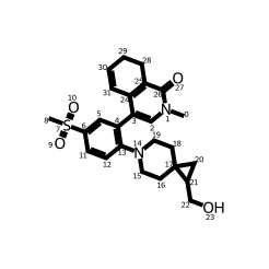 Cn1cc(-c2cc(S(C)(=O)=O)ccc2N2CCC3(CC2)CC3CO)c2c(c1=O)CCC=C2